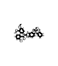 COc1ccc(N(C(=O)c2ccccc2Cl)c2nc3ccc(N(c4ccccc4)S(C)(=O)=O)cc3s2)cc1OC